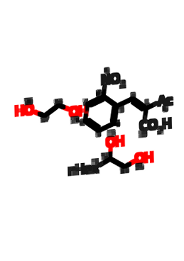 CC(=O)C(=Cc1ccccc1[N+](=O)[O-])C(=O)O.CCCCCCC(O)CO.OCCO